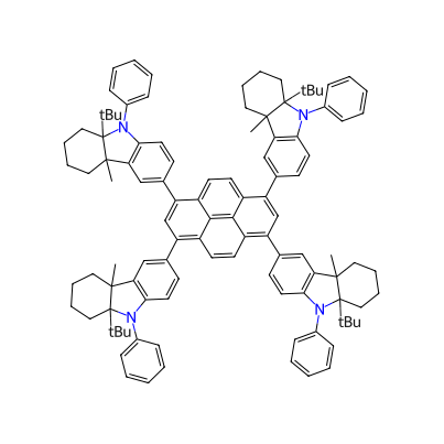 CC(C)(C)C12CCCCC1(C)c1cc(-c3cc(-c4ccc5c(c4)C4(C)CCCCC4(C(C)(C)C)N5c4ccccc4)c4ccc5c(-c6ccc7c(c6)C6(C)CCCCC6(C(C)(C)C)N7c6ccccc6)cc(-c6ccc7c(c6)C6(C)CCCCC6(C(C)(C)C)N7c6ccccc6)c6ccc3c4c65)ccc1N2c1ccccc1